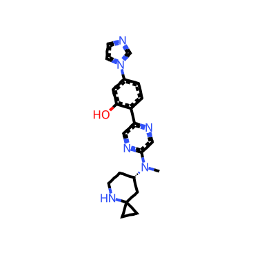 CN(c1cnc(-c2ccc(-n3ccnc3)cc2O)cn1)[C@H]1CCNC2(CC2)C1